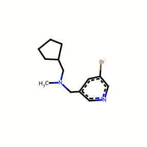 CN(Cc1cncc(Br)c1)CC1CCCC1